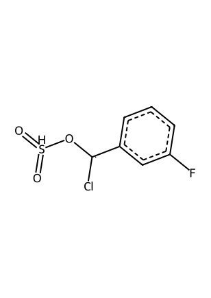 O=[SH](=O)O[C](Cl)c1cccc(F)c1